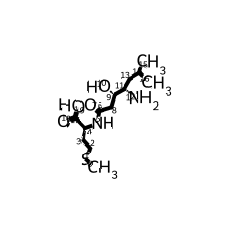 CSCC[C@H](NC(=O)C[C@H](O)[C@@H](N)CC(C)C)C(=O)O